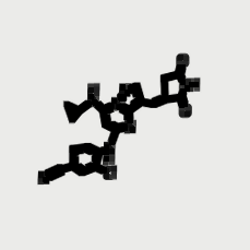 N#Cc1ccc(Nc2cc(NC3CC3)n3ncc(/C=C4\CC(=O)NC4=O)c3n2)c(Cl)c1